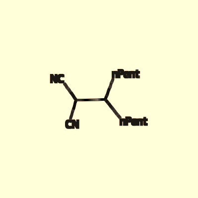 CCCCCC(CCCCC)C(C#N)C#N